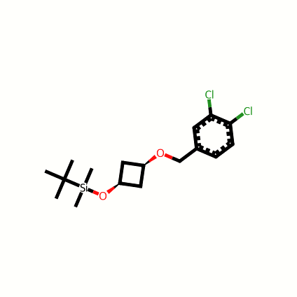 CC(C)(C)[Si](C)(C)O[C@H]1C[C@@H](OCc2ccc(Cl)c(Cl)c2)C1